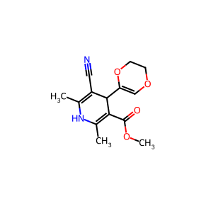 COC(=O)C1=C(C)NC(C)=C(C#N)C1C1=COCCO1